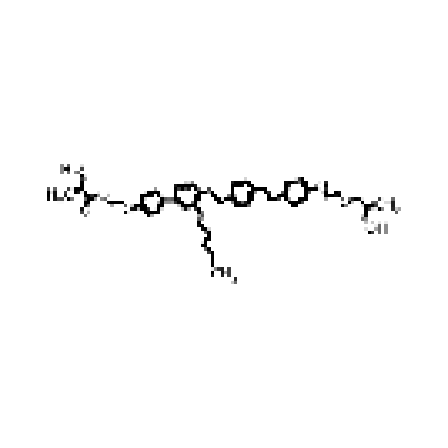 C=C(CO)COCCOc1ccc(CCc2ccc(CCc3ccc(-c4ccc(OCCOC(=O)C(=C)CO)cc4)cc3CCCCCCC)cc2)cc1